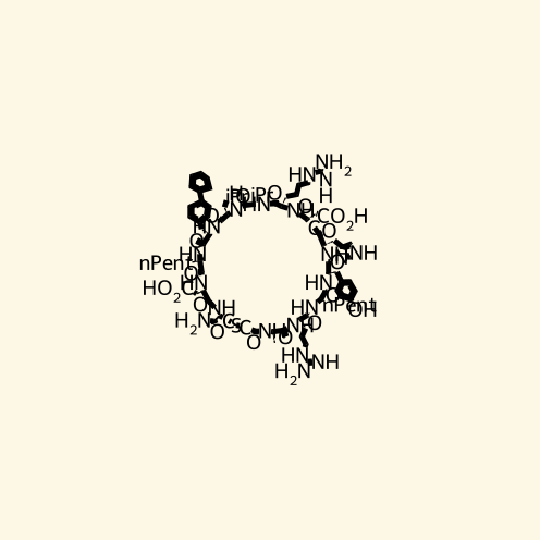 CCCCC[C@@H]1NC(=O)[C@H](CCCNC(=N)N)NC(=O)[C@H](C)NC(=O)CSC[C@@H](C(N)=O)NC(=O)[C@H](CC(=O)O)NC(=O)[C@H](CCCCC)NC(=O)[C@H](Cc2ccc(-c3ccccc3)cc2)NC(=O)[C@H](CC(C)C)NC(=O)[C@H](C(C)C)NC(=O)[C@H](CCCCNC(=N)N)NC(=O)[C@H](CC(=O)O)CC(=O)[C@H](Cc2c[nH]cn2)NC(=O)[C@H](Cc2ccc(O)cc2)NC1=O